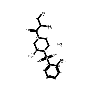 C[C@H]1CN(C(=O)C(N)CC(C)(C)C)CCN1S(=O)(=O)c1ccccc1[N+](=O)[O-].Cl